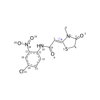 CN1C(=O)CS/C1=C\C(=O)Nc1ccc(Cl)cc1[N+](=O)[O-]